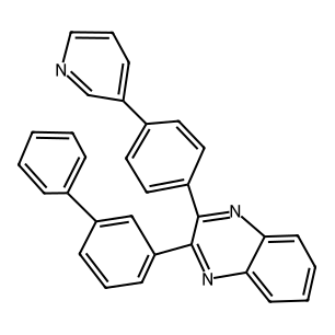 c1ccc(-c2cccc(-c3nc4ccccc4nc3-c3ccc(-c4cccnc4)cc3)c2)cc1